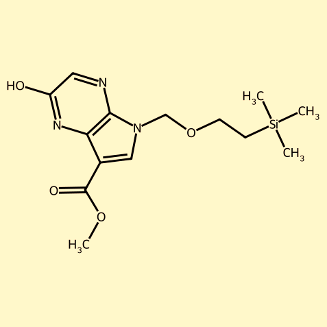 COC(=O)c1cn(COCC[Si](C)(C)C)c2ncc(O)nc12